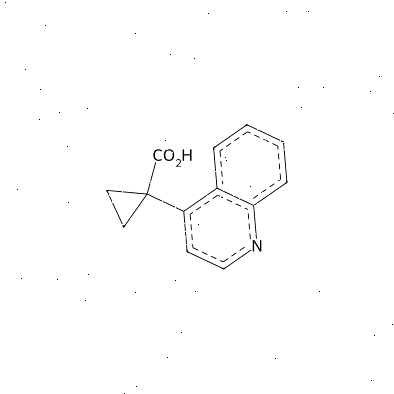 O=C(O)C1(c2ccnc3ccccc23)CC1